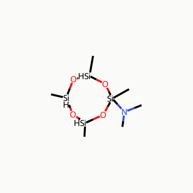 CN(C)[Si]1(C)O[SiH](C)O[SiH](C)O[SiH](C)O1